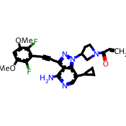 C=CC(=O)N1CCC(n2nc(C#Cc3c(F)c(OC)cc(OC)c3F)c3c(N)ncc(C4CC4)c32)C1